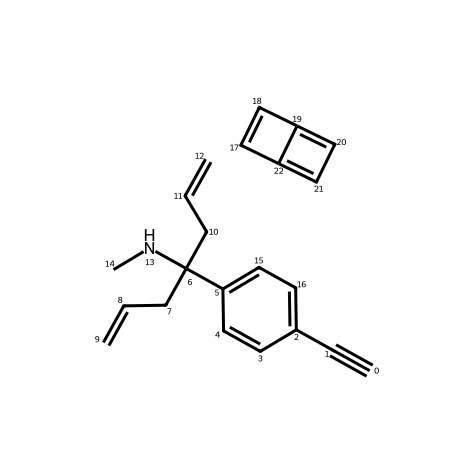 C#Cc1ccc(C(CC=C)(CC=C)NC)cc1.c1cc2ccc1-2